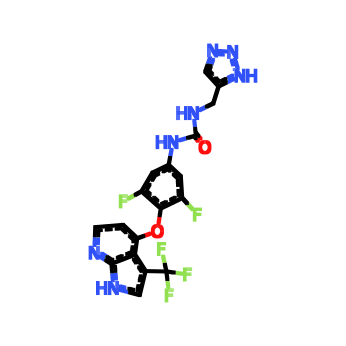 O=C(NCc1cnn[nH]1)Nc1cc(F)c(Oc2ccnc3[nH]cc(C(F)(F)F)c23)c(F)c1